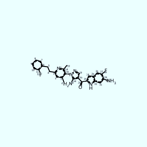 Cc1cc(CCc2ccccc2F)nc(C)c1-n1ncc(C(=O)c2cc3cc(F)c(N)cc3[nH]2)c1N